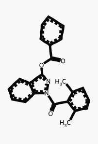 Cc1cccc(C)c1C(=O)n1nc(OC(=O)c2ccccc2)c2ccccc21